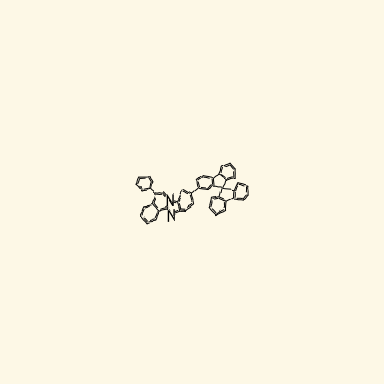 c1ccc(-c2cn3c4cc(-c5ccc6c(c5)C5(c7ccccc7-c7ccccc75)c5ccccc5-6)ccc4nc3c3ccccc23)cc1